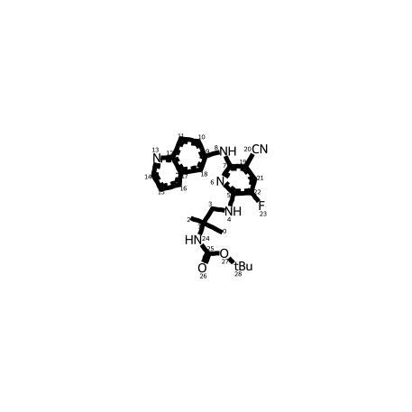 CC(C)(CNc1nc(Nc2ccc3ncccc3c2)c(C#N)cc1F)NC(=O)OC(C)(C)C